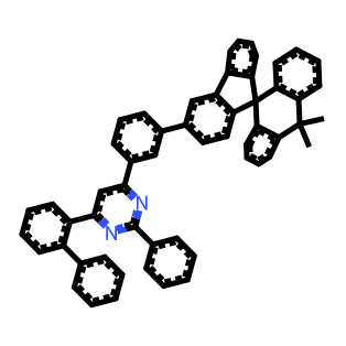 CC1(C)c2ccccc2C2(c3ccccc3-c3cc(-c4cccc(-c5cc(-c6ccccc6-c6ccccc6)nc(-c6ccccc6)n5)c4)ccc32)c2ccccc21